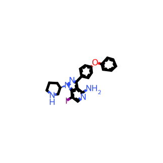 Nc1ncc(I)c2c1c(-c1ccc(Oc3ccccc3)cc1)nn2[C@@H]1CCCNC1